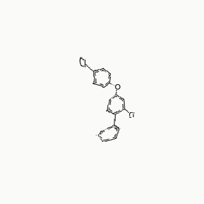 Clc1ccc(Oc2ccc(-c3c[c]ccc3)c(Cl)c2)cc1